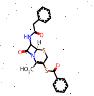 O=C(Cc1ccccc1)NC1C(=O)N2C(C(=O)O)=C(SC(=O)c3ccccc3)CS[C@H]12